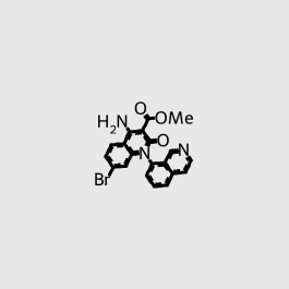 COC(=O)c1c(N)c2ccc(Br)cc2n(-c2cccc3ccncc23)c1=O